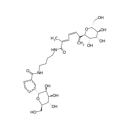 C=C(/C=C\C=C(/C)C(=O)NCCCCNC(=O)c1cccc([C@H]2O[C@H](CO)[C@@H](O)[C@H](O)[C@@H]2O)c1)[C@H]1O[C@H](CO)[C@@H](O)[C@H](O)[C@@H]1O